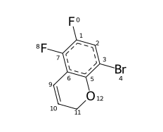 Fc1cc(Br)c2c(c1F)C=CCO2